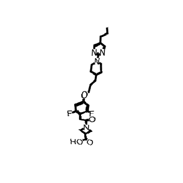 CCCc1cnc(N2CCC(CCCOc3cc(F)c(CC(=O)N4CC(C(=O)O)C4)c(F)c3)CC2)nc1